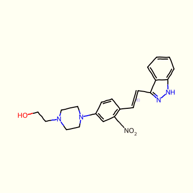 O=[N+]([O-])c1cc(N2CCN(CCO)CC2)ccc1/C=C/c1n[nH]c2ccccc12